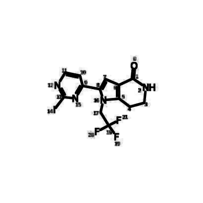 O=C1NCCc2c1cc(-c1ccnc(I)n1)n2CC(F)(F)F